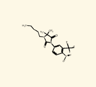 CCCCCN1C(=O)N(c2ccc([N+](=O)[O-])c(C(F)(F)F)c2)C(=O)C1(C)C